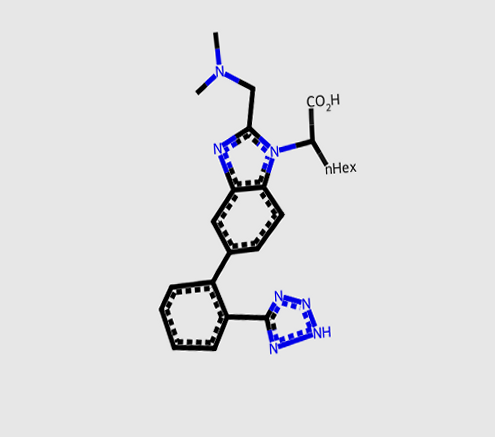 CCCCCCC(C(=O)O)n1c(CN(C)C)nc2cc(-c3ccccc3-c3nn[nH]n3)ccc21